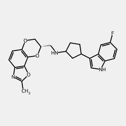 Cc1nc2ccc3c(c2o1)O[C@@H](CNC1CCC(c2c[nH]c4ccc(F)cc24)C1)CO3